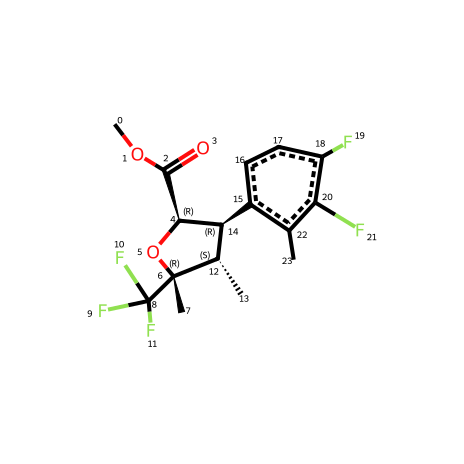 COC(=O)[C@@H]1O[C@@](C)(C(F)(F)F)[C@@H](C)[C@@H]1c1ccc(F)c(F)c1C